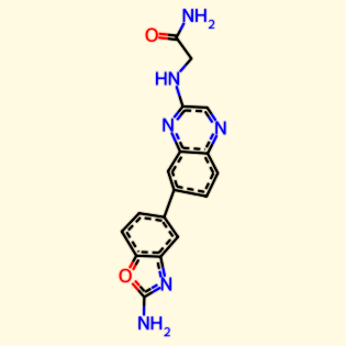 NC(=O)CNc1cnc2ccc(-c3ccc4oc(N)nc4c3)cc2n1